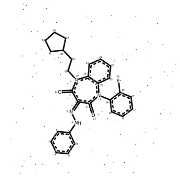 O=c1/c(=N/Nc2ccccc2)c(=O)n(-c2ccccc2F)c2ccccc2n1CCC1CCCC1